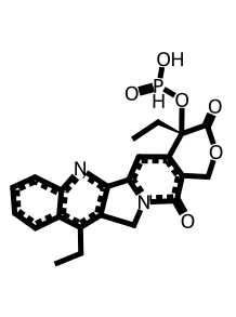 CCc1c2c(nc3ccccc13)-c1cc3c(c(=O)n1C2)COC(=O)[C@@]3(CC)O[PH](=O)O